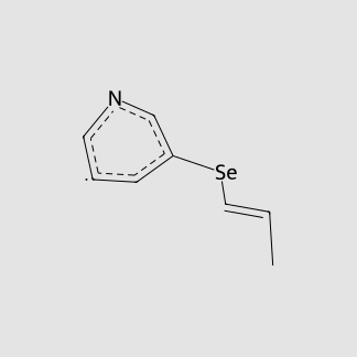 CC=C[Se]c1c[c]cnc1